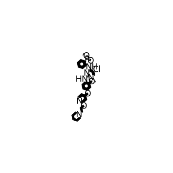 COc1cc(Oc2ccnc(OCCN3CCCCC3)c2)ccc1Nc1ncc(Cl)c(Nc2ccccc2P(OC)OC)n1